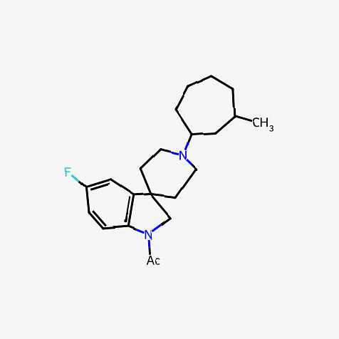 CC(=O)N1CC2(CCN(C3CCCCC(C)C3)CC2)c2cc(F)ccc21